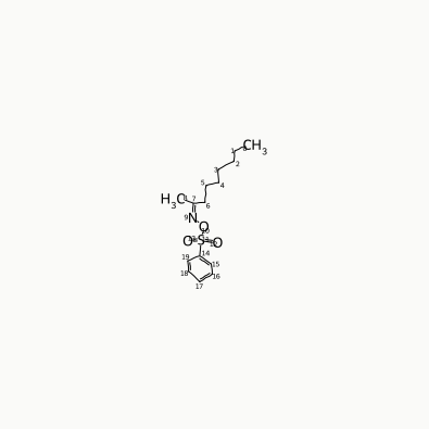 CCCCCCCC(C)=NOS(=O)(=O)c1ccccc1